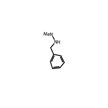 CNNCc1[c]cccc1